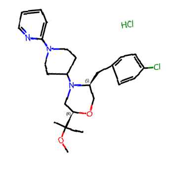 COC(C)(C)[C@H]1CN(C2CCN(c3ccccn3)CC2)[C@@H](Cc2ccc(Cl)cc2)CO1.Cl